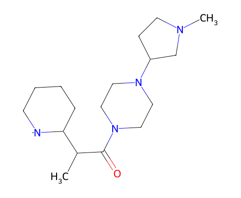 CC(C(=O)N1CCN(C2CCN(C)C2)CC1)C1CCCC[N]1